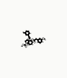 COC(=O)N1CC[C@@H]2[C@H]1CCC[C@]2(C#Cc1cccc(C)c1)OC(=O)Cc1cccc(OC)c1